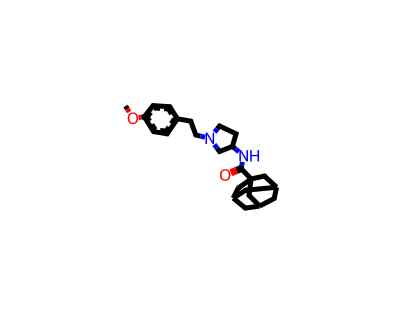 COc1ccc(CCN2CCC(NC(=O)C34CC5CC(CC(C5)C3)C4)C2)cc1